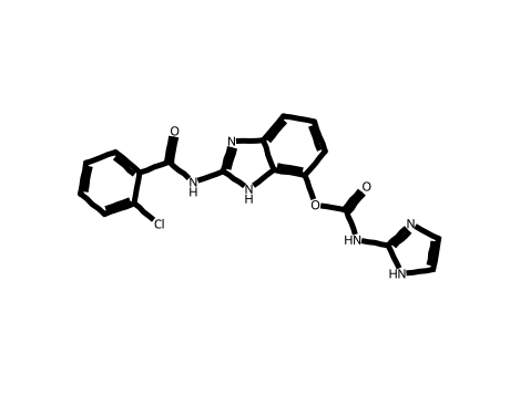 O=C(Nc1ncc[nH]1)Oc1cccc2nc(NC(=O)c3ccccc3Cl)[nH]c12